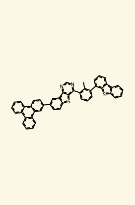 Cc1c(-c2cccc3c2sc2ccccc23)cccc1-c1ncnc2c1sc1ccc(-c3ccc4c5ccccc5c5ccccc5c4c3)cc12